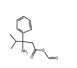 CC(C)C(N)(CC(=O)OC=O)c1ccccc1